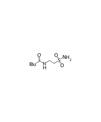 CCC(C)C(=O)NCCS(N)(=O)=O